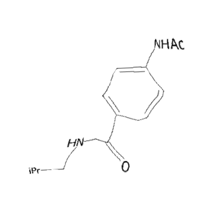 CC(=O)Nc1ccc(C(=O)NCC(C)C)cc1